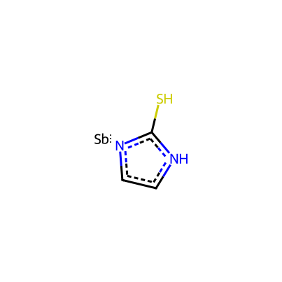 Sc1ncc[nH]1.[Sb]